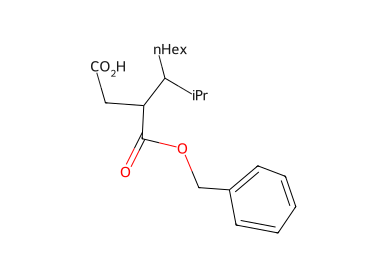 CCCCCCC(C(C)C)C(CC(=O)O)C(=O)OCc1ccccc1